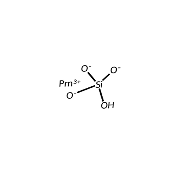 [O-][Si]([O-])([O-])O.[Pm+3]